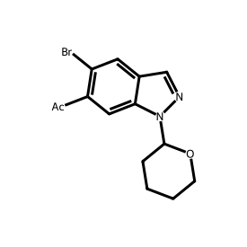 CC(=O)c1cc2c(cnn2C2CCCCO2)cc1Br